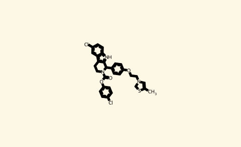 CC1=CN(CCOc2ccc(C3c4[nH]c5ccc(Cl)cc5c4CCN3C(=O)Oc3ccc(Cl)cc3)cc2)CS1